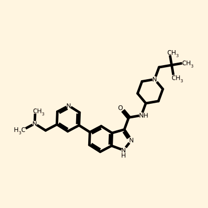 CN(C)Cc1cncc(-c2ccc3[nH]nc(C(=O)NC4CCN(CC(C)(C)C)CC4)c3c2)c1